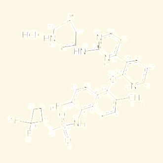 Cc1ccc2c(NS(=O)(=O)C[C@H]3CCC3(F)F)c(F)ccc2c1Oc1ncccc1-c1ccnc(NC2CCCNC2)n1.Cl